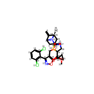 C=C1C2C[C@@H](OCc3c(-c4c(Cl)cccc4Cl)noc3C3CC3)C[C@@H]1N2C1=NCC(C(=O)OC)S1